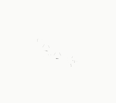 O=C1NC(=O)C([C@@H]2CCc3cc(Oc4ccc(C(F)(F)F)cc4C(F)F)ccc32)O1